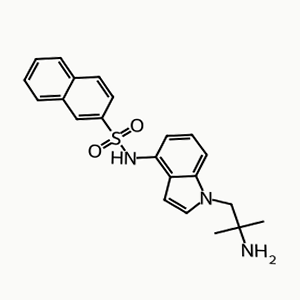 CC(C)(N)Cn1ccc2c(NS(=O)(=O)c3ccc4ccccc4c3)cccc21